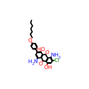 CCCCCCCOc1ccc(-c2cc(N)c3c(c2O)C(=O)c2c(N)c(Cl)cc(O)c2C3=O)cc1